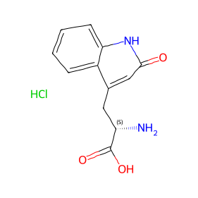 Cl.N[C@@H](Cc1cc(=O)[nH]c2ccccc12)C(=O)O